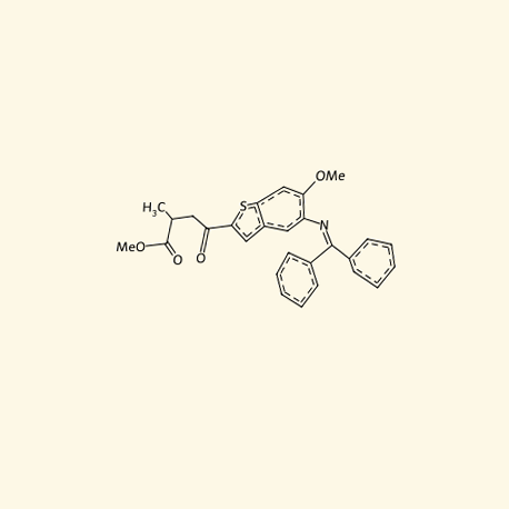 COC(=O)C(C)CC(=O)c1cc2cc(N=C(c3ccccc3)c3ccccc3)c(OC)cc2s1